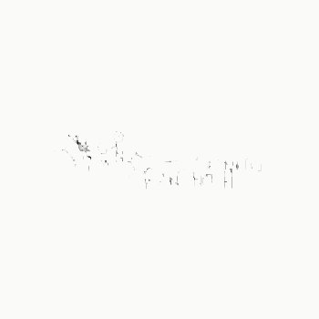 CCCCNC[C@@H]1CC(c2ccc(-c3ccc(N4C[C@H](Cn5ccnn5)OC4=O)cc3F)cn2)=NO1